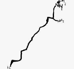 CCCCCCCCCCCCC(N)CNC